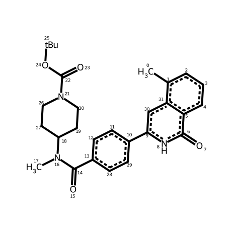 Cc1cccc2c(=O)[nH]c(-c3ccc(C(=O)N(C)C4CCN(C(=O)OC(C)(C)C)CC4)cc3)cc12